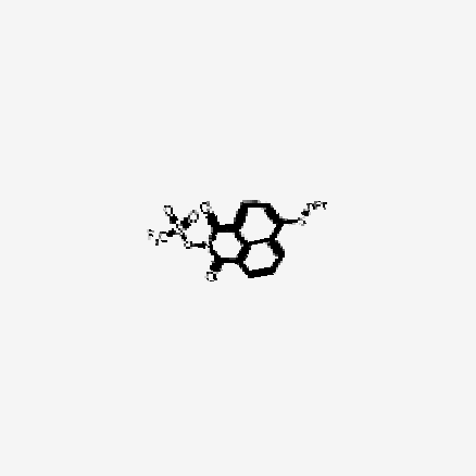 CCCSc1ccc2c3c(cccc13)C(=O)N(OS(=O)(=O)C(F)(F)F)C2=O